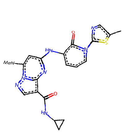 CNc1cc(Nc2cccn(-c3ncc(C)s3)c2=O)nc2c(C(=O)NC3CC3)cnn12